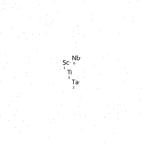 [Nb].[Sc].[Ta].[Ti]